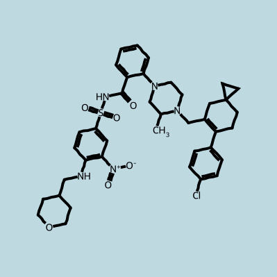 CC1CN(c2ccccc2C(=O)NS(=O)(=O)c2ccc(NCC3CCOCC3)c([N+](=O)[O-])c2)CCN1CC1=C(c2ccc(Cl)cc2)CCC2(CC2)C1